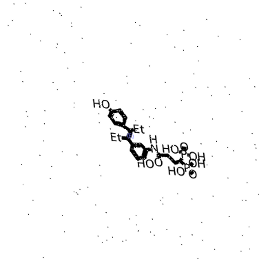 CC/C(=C(/CC)c1ccc(O)c(NC(=O)CCC(P(=O)(O)O)P(=O)(O)O)c1)c1ccc(O)cc1